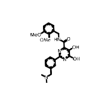 COc1cccc(CNC(=O)c2nc(-c3cccc(CN(C)C)c3)nc(O)c2O)c1OC